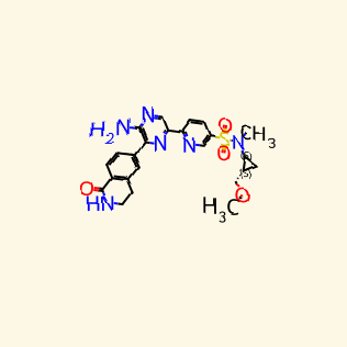 COC[C@H]1C[C@@H]1N(C)S(=O)(=O)c1ccc(-c2cnc(N)c(-c3ccc4c(c3)CCNC4=O)n2)nc1